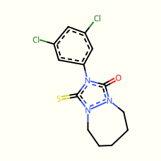 O=c1n(-c2cc(Cl)cc(Cl)c2)c(=S)n2n1CCCCC2